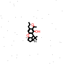 CCCc1cc2c(c(O)c1C(C)=O)C1C3[C@@H](CC[C@@]3(C)O2)C1(C)C